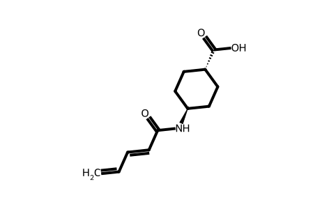 C=C/C=C/C(=O)N[C@H]1CC[C@H](C(=O)O)CC1